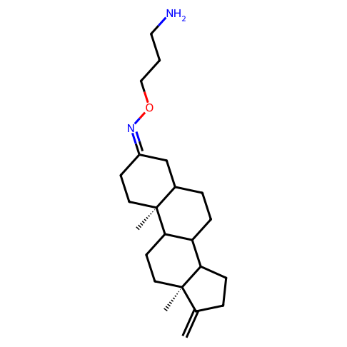 C=C1CCC2C3CCC4CC(=NOCCCN)CC[C@]4(C)C3CC[C@]12C